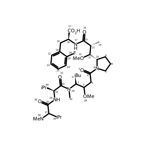 CC[C@H](C)C(C(CC(=O)N1CCC[C@H]1C(OC)[C@@H](C)C(=O)N[C@@H](Cc1ccccc1F)C(=O)O)OC)N(C)C(=O)[C@@H](NC(=O)C(NC)C(C)C)C(C)C